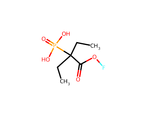 CCC(CC)(C(=O)OF)P(=O)(O)O